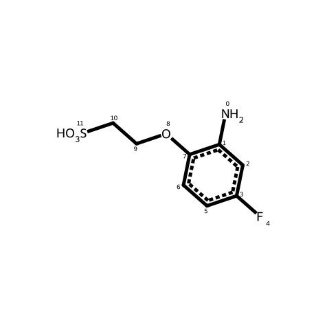 Nc1cc(F)ccc1OCCS(=O)(=O)O